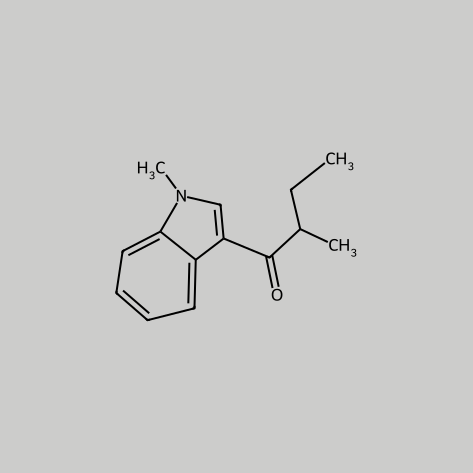 CCC(C)C(=O)c1cn(C)c2ccccc12